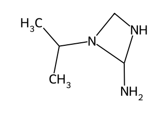 CC(C)N1CNC1N